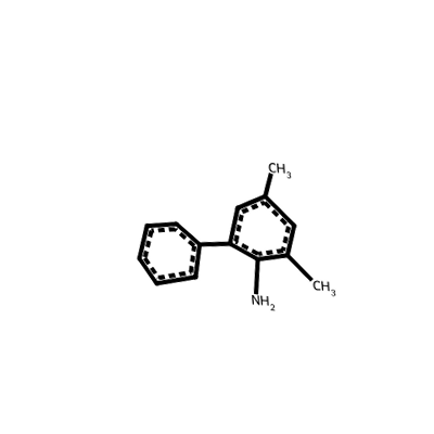 Cc1cc(C)c(N)c(-c2ccccc2)c1